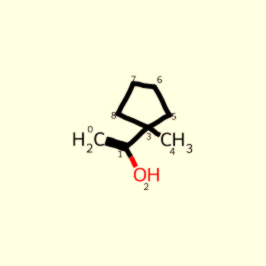 C=C(O)C1(C)CCCC1